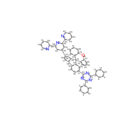 c1ccc(-c2nc(-c3ccccc3)nc(-c3ccc4c(c3)C3(c5ccccc5Oc5ccccc53)c3cc(-c5cc(-c6ccccn6)nc(-c6ccccn6)c5)ccc3-4)n2)cc1